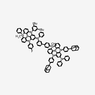 CC(C)(C)c1cc(N2c3cc(N(c4ccccc4)c4cccc(-c5ccc([Si]6(C)c7cccc8c7B7c9c(cc(N(c%10ccccc%10)c%10ccccc%10)cc9N(c9ccc(C%10%11CC%12CC(CC(C%12)C%10)C%11)cc9)c9cccc6c97)N8c6ccc(C78CC9CC(CC(C9)C7)C8)cc6)cc5)c4)cc4c3B3c5c(cccc5[Si](C)(c5ccccc5)c5cccc2c53)N4c2ccc(F)cc2)cc(C(C)(C)C)c1